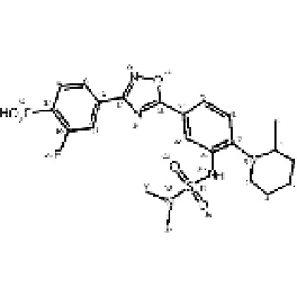 CC1CCCCN1c1ccc(-c2nc(-c3ccc(C(=O)O)c(F)c3)no2)cc1NS(=O)(=O)N(C)C